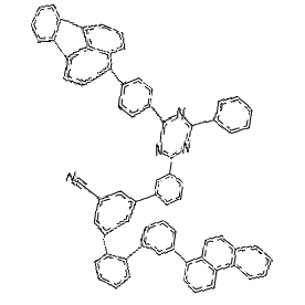 N#Cc1cc(-c2cccc(-c3nc(-c4ccccc4)nc(-c4ccc(-c5ccc6c7c(cccc57)-c5ccccc5-6)cc4)n3)c2)cc(-c2ccccc2-c2cccc(-c3cccc4c3ccc3ccccc34)c2)c1